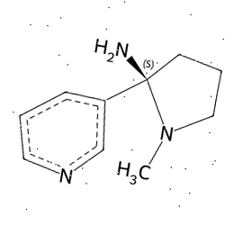 CN1CCC[C@@]1(N)c1cccnc1